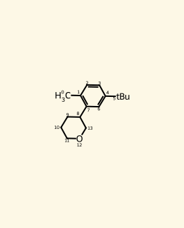 Cc1ccc(C(C)(C)C)cc1C1CCCOC1